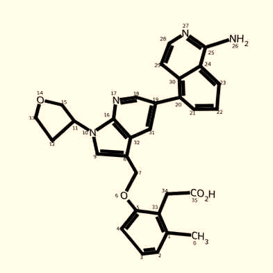 Cc1cccc(OCc2cn(C3CCOC3)c3ncc(-c4cccc5c(N)nccc45)cc23)c1CC(=O)O